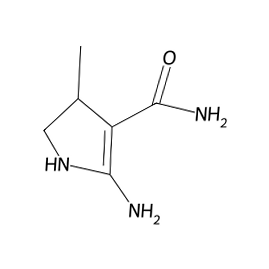 CC1CNC(N)=C1C(N)=O